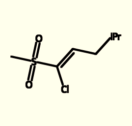 CC(C)CC=C(Cl)S(C)(=O)=O